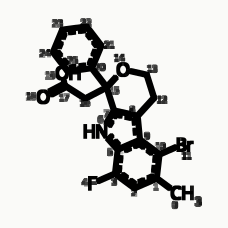 Cc1cc(F)c2[nH]c3c(c2c1Br)CCOC3(CC(=O)O)c1ccccc1